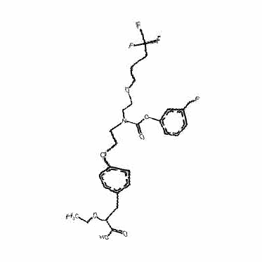 CCOC(Cc1ccc(OCCN(CCOCCCC(F)(F)F)C(=O)Oc2cccc(F)c2)cc1)C(=O)O